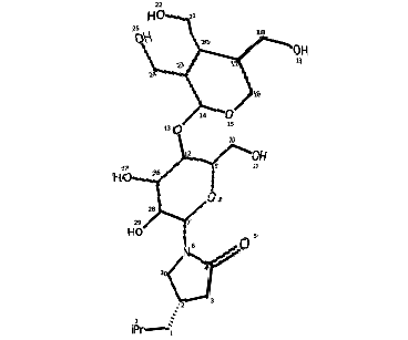 CC(C)C[C@H]1CC(=O)N(C2OC(CO)C(OC3OCC(CO)C(CO)C3CO)C(O)C2O)C1